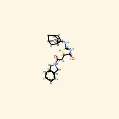 O=C1N=C(NC23CC4CC(CC2C4)C3)SC1CC(=O)N1Cc2ccccc2C1